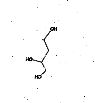 O[CH]CC(O)CO